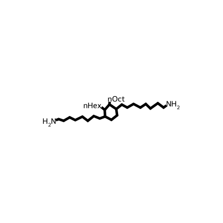 CCCCCCCCC1C(CCCCCCCCN)CCC(CCCCCCCCN)C1CCCCCC